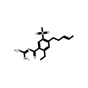 C/C=C/CCc1cc(CC)c(C(=O)N=C(N)N)cc1S(C)(=O)=O